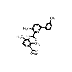 COC(=O)c1ccc(C)c(NC(=O)c2nc(-c3cccc(C)c3)ccc2C)c1C